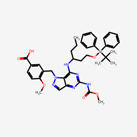 CCCC(CCO[Si](c1ccccc1)(c1ccccc1)C(C)(C)C)Nc1nc(NC(=O)OC)nc2cnn(Cc3cc(C(=O)O)ccc3OC)c12